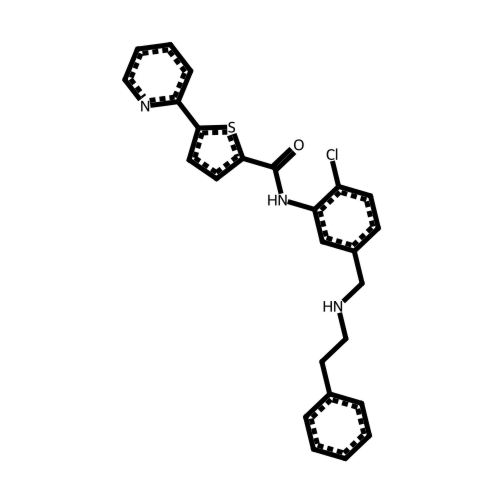 O=C(Nc1cc(CNCCc2ccccc2)ccc1Cl)c1ccc(-c2ccccn2)s1